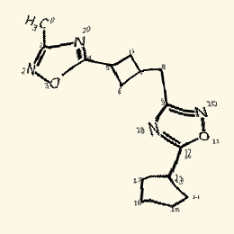 Cc1noc(C2CC(Cc3noc(C4CCCC4)n3)C2)n1